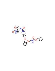 O=C1CO[C@H]2CCN(C(=O)N3CCC4(CC3)CC(OCc3ccccc3OCCNC(=O)OCc3ccccc3)C4)C[C@H]2N1